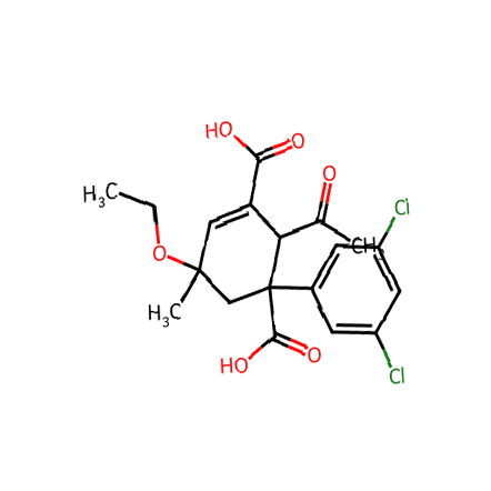 CCOC1(C)C=C(C(=O)O)C(C(C)=O)C(C(=O)O)(c2cc(Cl)cc(Cl)c2)C1